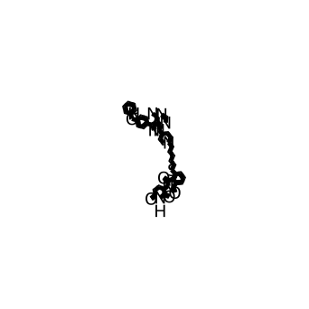 Nc1ncnc2c1c(-c1ccc(Oc3ccccc3)cc1)nn2C1CCN(CCCCCSc2cccc3c2C(=O)N(C2CCC(=O)NC2=O)C3=O)CC1